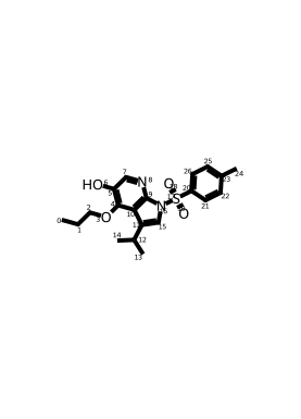 CCCOc1c(O)cnc2c1c(C(C)C)cn2S(=O)(=O)c1ccc(C)cc1